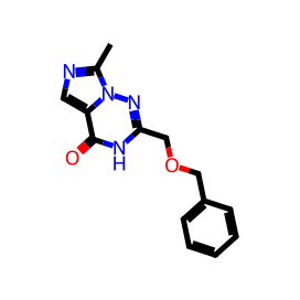 Cc1ncc2c(=O)[nH]c(COCc3ccccc3)nn12